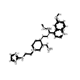 CON[C@H](CC[C@@H]1CCN(CCSc2nccs2)C[C@@H]1CO)c1ccnc2ccc(OC)cc12